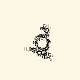 CCn1c(-c2cc(N3CCN(C)CC3)cnc2[C@H](C)OC)c2c3cc(ccc31)-c1csc(n1)C[C@H](NC(=O)[C@@H]1CCCN(C(C)=O)C1)C(=O)N1CCC[C@H](N1)C(=O)OCC(C)(C)C2